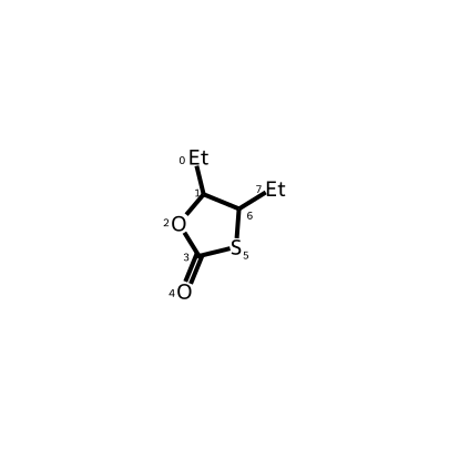 CCC1OC(=O)SC1CC